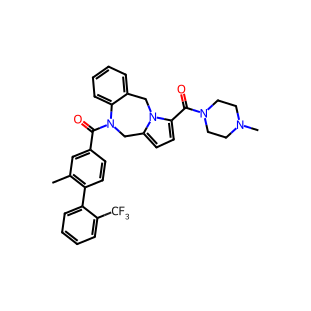 Cc1cc(C(=O)N2Cc3ccc(C(=O)N4CCN(C)CC4)n3Cc3ccccc32)ccc1-c1ccccc1C(F)(F)F